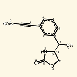 CCCCCCCCCCC#Cc1cccc(C(O)[C@@H]2COC(=O)N2)c1